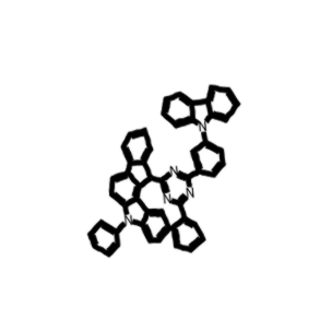 c1ccc(-c2nc(-c3cccc(-n4c5ccccc5c5ccccc54)c3)nc(C3c4ccccc4-c4ccc5c(c43)c3ccccc3n5-c3ccccc3)n2)cc1